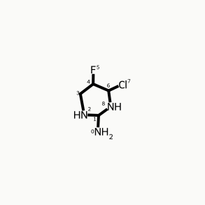 NC1NCC(F)C(Cl)N1